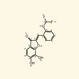 O=C1C(=Cc2ccccc2OC(F)F)Oc2c1ccc(O)c2O